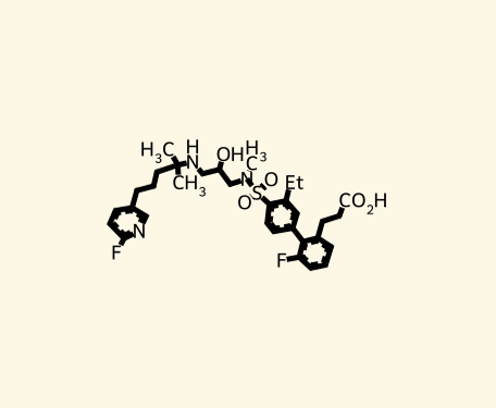 CCc1cc(-c2c(F)cccc2CCC(=O)O)ccc1S(=O)(=O)N(C)CC(O)CNC(C)(C)CCCc1ccc(F)nc1